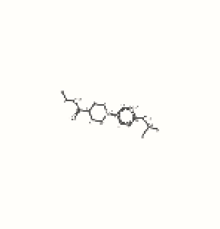 CCOC(=O)C1CCN(c2ccc(OC(C)C)nc2)CC1